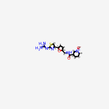 NC(N)=Nc1nc(-c2ccc(CNC(=O)c3ccc[n+]([O-])c3)o2)cs1